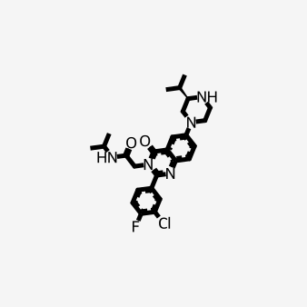 CC(C)NC(=O)Cn1c(-c2ccc(F)c(Cl)c2)nc2ccc(N3CCN[C@H](C(C)C)C3)cc2c1=O